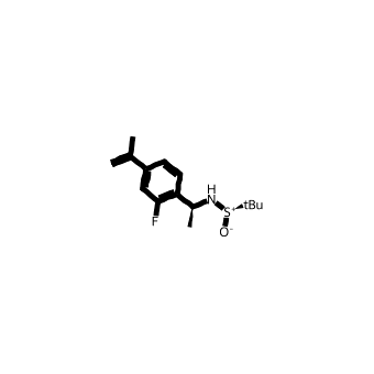 C=C(C)c1ccc([C@H](C)N[S@+]([O-])C(C)(C)C)c(F)c1